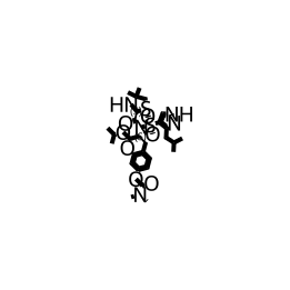 CC(C)Cc1n[nH]cc1S(=O)(=O)N(C(=O)[C@H]1NC(C)(C)CS1)[C@@H](Cc1ccc(OC(=O)N(C)C)cc1)C(=O)OC(C)C